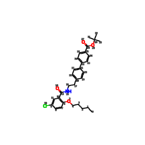 CCCCCOc1ccc(Cl)cc1C(=O)NCCc1ccc(-c2ccc(C(=O)OC(C)(C)C)cc2)cc1